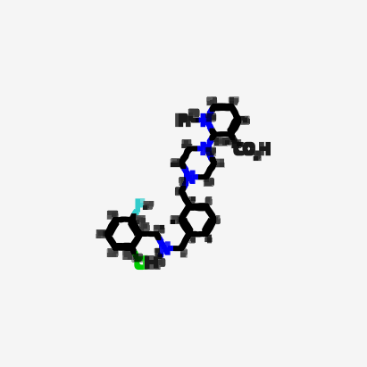 CCN(Cc1cccc(CN2CCN(C3C(C(=O)O)=CC=CN3C(C)C)CC2)c1)Cc1c(F)cccc1Cl